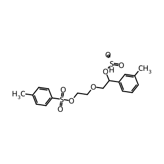 Cc1ccc(S(=O)(=O)OCCOCC(O[SH](=O)=O)c2cccc(C)c2)cc1